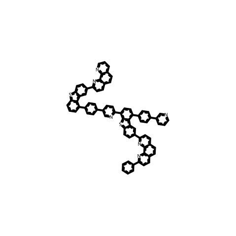 c1ccc(-c2ccc3ccc4ccc(-c5ccc6sc7c(-c8ccc(-c9ccc(-c%10cccc%11sc%12ccc(-c%13ccc%14ccc%15cccnc%15c%14n%13)cc%12c%10%11)cc9)cn8)ccc(-c8ccc(-c9cccnc9)cc8)c7c6c5)nc4c3n2)cc1